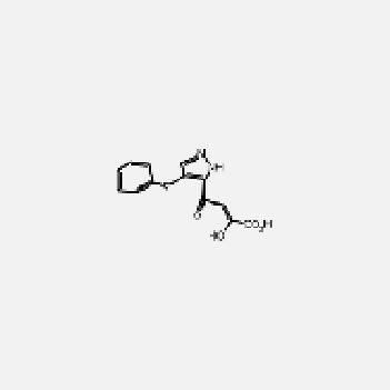 O=C(O)C(O)=CC(=O)c1[nH]ncc1Sc1ccccc1